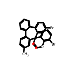 Cc1ccc2c(c1)C1(c3ccccc3Oc3c(Br)cccc31)c1cc(Br)ccc1-c1ccccc1-2